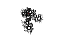 [2H]c1c([2H])c(C([2H])([2H])Sc2nc(=O)c3c(n2C([2H])([2H])C(=O)N(Cc2c([2H])c([2H])c(-c4c([2H])c([2H])c(C(F)(F)F)c(C)c4[2H])c([2H])c2[2H])C([2H])([2H])C([2H])([2H])N(C([2H])([2H])C)C([2H])([2H])C)C([2H])([2H])C([2H])([2H])C3([2H])[2H])c([2H])c([2H])c1F